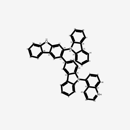 c1cc(-n2c3ccccc3c3cc(-c4cc5c(cc4-n4c6ccccc6c6ccccc64)oc4ccccc45)ccc32)c2cccnc2c1